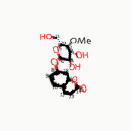 CO[C@@H]1[C@H](O)[C@@H](O)C(Oc2ccc3ccc(=O)oc3c2)O[C@@H]1CO